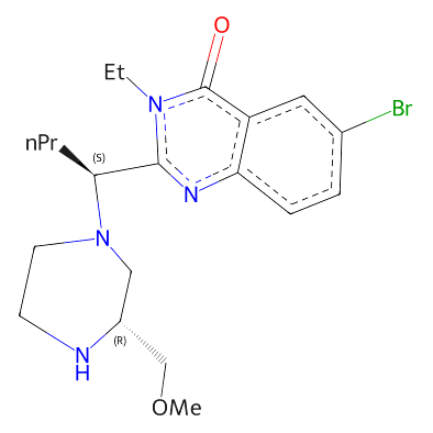 CCC[C@@H](c1nc2ccc(Br)cc2c(=O)n1CC)N1CCN[C@@H](COC)C1